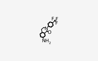 Nc1ccc2c(c1)C(=O)N(c1ccc(C(F)(F)F)cc1)CC2